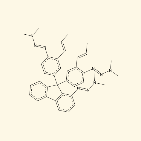 CC=Cc1cc(C2(c3ccc(N=NN(C)C)c(C=CC)c3)c3ccccc3-c3cccc(N=NN(C)C)c32)ccc1N=NN(C)C